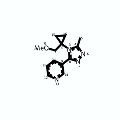 COCC1(n2c(C)nnc2-c2cccnc2)CC1